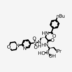 CCCCc1ccc(C(=O)N[C@@H](CNS(=O)(=O)c2ccc(N3CCOCC3)nc2)C(=O)N[C@@H](CC(C)C)B(O)O)cc1